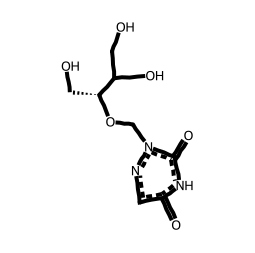 O=c1cnn(CO[C@H](CO)C(O)CO)c(=O)[nH]1